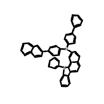 C1=CC(n2c3ccccc3c3ccc4ccc(N(c5ccc(-c6ccccc6)cc5)c5ccc(-c6ccc7ccccc7c6)cc5)cc4c32)=CCC1